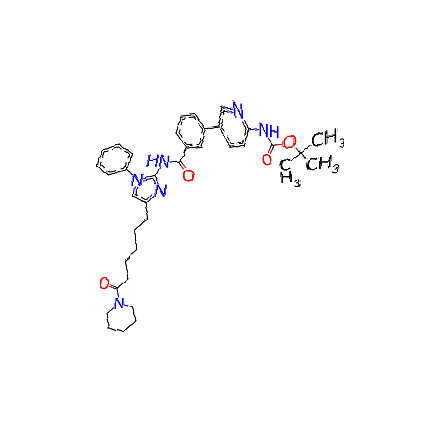 CC(C)(C)OC(=O)Nc1ccc(-c2cccc(C(=O)Nc3nc(CCCCCC(=O)N4CCCCC4)cn3-c3ccccc3)c2)cn1